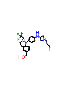 C[C@H]1Cc2cc(CO)ccc2[C@H](c2ccc(NC3CN(CCCF)C3)cc2)N1CC(F)(F)F